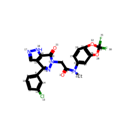 CCN(C(=O)Cn1nc(-c2cccc(Cl)c2)c2cn[nH]c2c1=O)c1ccc2c(c1)OC(F)(F)O2